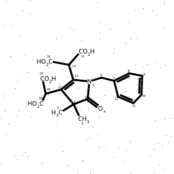 CC1(C)C(=O)N(Cc2ccccc2)C(C(C(=O)O)C(=O)O)=C1C(C(=O)O)C(=O)O